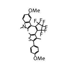 COc1ccc(-c2sc(C)c(C3=C(c4c(C)n(C)c5ccc(OC)cc45)C(F)(F)C(F)(F)C3(F)F)c2C)cc1